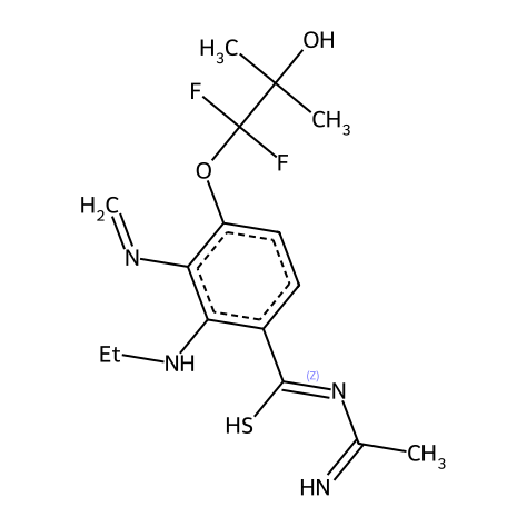 C=Nc1c(OC(F)(F)C(C)(C)O)ccc(/C(S)=N/C(C)=N)c1NCC